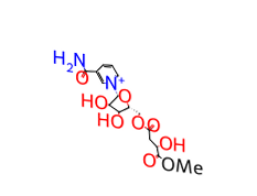 COC(=O)[C@@H](O)CC(=O)OC[C@H]1O[C@@H]([n+]2cccc(C(N)=O)c2)[C@H](O)[C@@H]1O